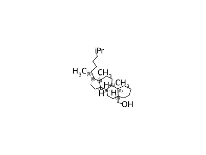 CC(C)CCC[C@@H](C)[C@H]1CC[C@H]2[C@@H]3CC[C@@]4(CO)CCCC[C@]4(C)[C@H]3CC[C@]12C